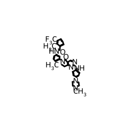 Cc1ccc(NC(=O)c2cccc(C(F)(F)F)c2C)cc1N1CCc2nc(Nc3ccc(N4CCN(C)CC4)cc3)ncc2C1=O